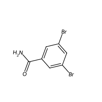 NC(=O)c1cc(Br)cc(Br)c1